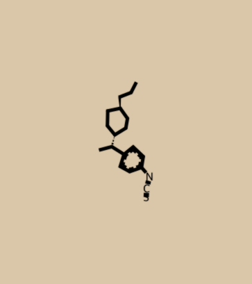 CCC[C@H]1CC[C@H](C(C)c2ccc(N=C=S)cc2)CC1